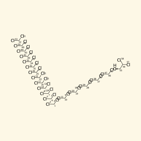 ClCCl.ClCCl.ClCCl.ClCCl.ClCCl.ClCCl.ClCCl.ClCCl.ClCCl.ClCCl.ClCCl.ClCCl.ClCCl.ClCCl.ClCCl.ClCCl.ClCCl.ClCCl.OCC(Cl)Cl